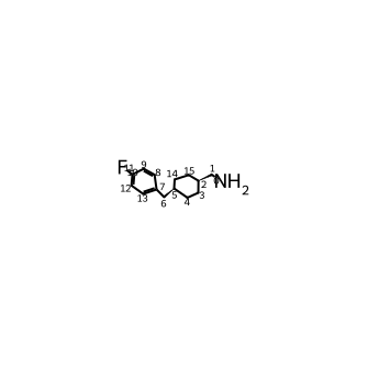 NC[C@H]1CC[C@@H](Cc2ccc(F)cc2)CC1